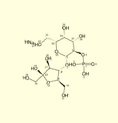 O=P(O)(O)O[C@H]1[C@H](O[C@@H]2[C@@H](CO)O[C@](O)(CO)[C@H]2O)O[C@H](CO)[C@H](O)[C@@H]1O.[NaH]